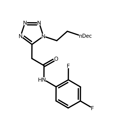 CCCCCCCCCCCCn1nnnc1CC(=O)Nc1ccc(F)cc1F